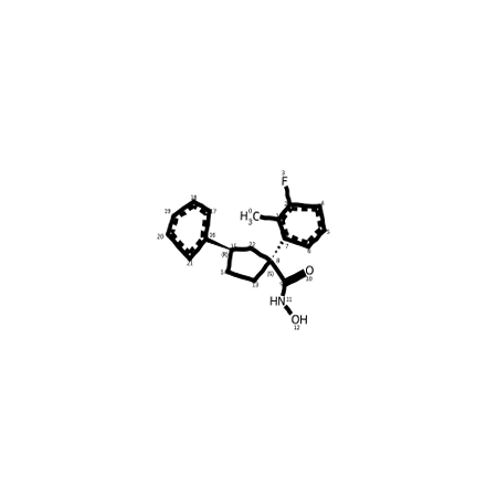 Cc1c(F)cccc1[C@]1(C(=O)NO)CC[C@@H](c2ccccc2)C1